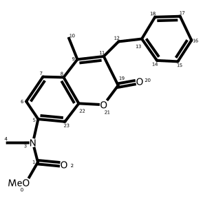 COC(=O)N(C)c1ccc2c(C)c(Cc3ccccc3)c(=O)oc2c1